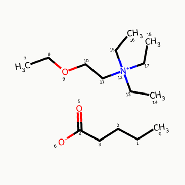 CCCCC(=O)[O-].CCOCC[N+](CC)(CC)CC